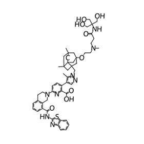 Cc1c(-c2ccc(N3CCc4cccc(C(=O)Nc5nc6ccccc6s5)c4C3)nc2C(=O)O)cnn1CC12CC3(OCCN(C)CCC(=O)NC(CO)(CO)CO)CC4(C)CC(C)(C1)C2(C4)C3